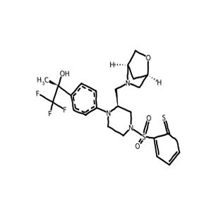 C[C@@](O)(c1ccc(N2CCN(S(=O)(=O)C3=CC=CCC3=S)C[C@@H]2CN2C[C@H]3C[C@@H]2CO3)cc1)C(F)(F)F